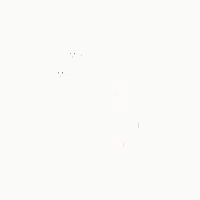 COc1ccc(C2Cc3ccc(O)c(C)c3OC2=O)cc1OC